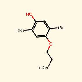 CCCCCCCCCCCCOc1cc(C(C)(C)C)c(O)cc1C(C)(C)C